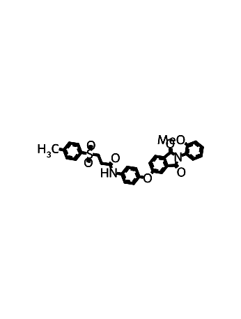 COc1ccccc1N1C(=O)c2ccc(Oc3ccc(NC(=O)CCS(=O)(=O)c4ccc(C)cc4)cc3)cc2C1=O